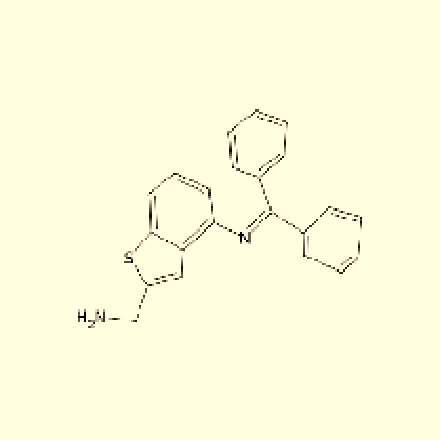 NCc1cc2c(N=C(c3ccccc3)c3ccccc3)cccc2s1